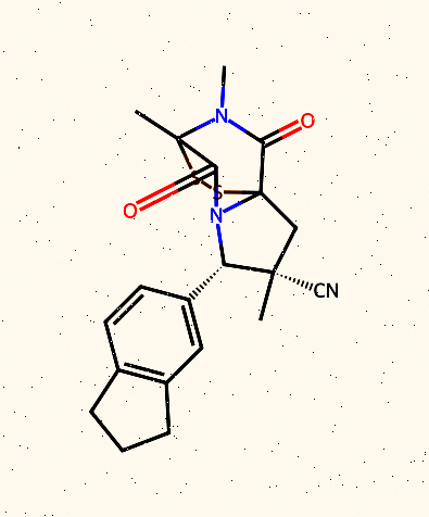 CN1C(=O)C23C[C@](C)(C#N)[C@H](c4ccc5c(c4)CCC5)N2C(=O)C1(C)SS3